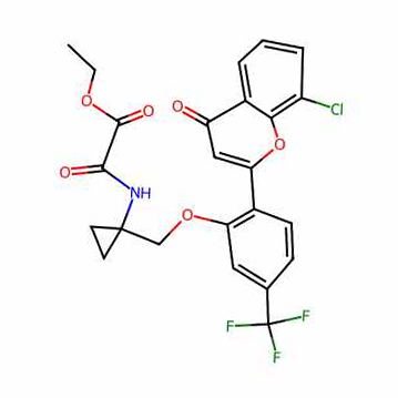 CCOC(=O)C(=O)NC1(COc2cc(C(F)(F)F)ccc2-c2cc(=O)c3cccc(Cl)c3o2)CC1